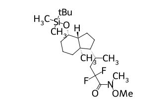 CON(C)C(=O)C(F)(F)CC(C)[C@H]1CC[C@H]2[C@@H](O[Si](C)(C)C(C)(C)C)CCC[C@]12C